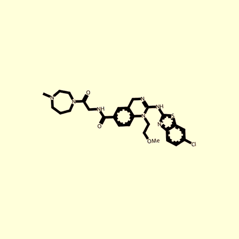 COCCN1C(Nc2nc3ccc(Cl)cc3s2)=NCc2cc(C(=O)NCC(=O)N3CCCN(C)CC3)ccc21